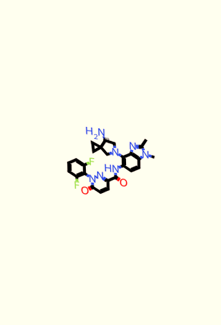 Cc1nc2c(N3C[C@H](N)C4(CC4)C3)c(NC(=O)c3ccc(=O)n(-c4c(F)cccc4F)n3)ccc2n1C